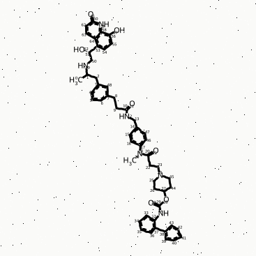 CC(Cc1cccc(CCC(=O)NCc2ccc(N(C)C(=O)CCN3CCC(OC(=O)Nc4ccccc4-c4ccccc4)CC3)cc2)c1)NC[C@H](O)c1ccc(O)c2[nH]c(=O)ccc12